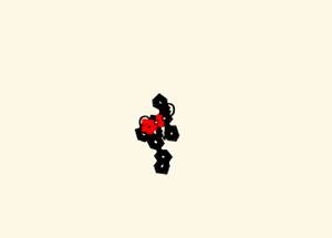 c1ccc(-c2ccc(-c3ccc4ccccc4c3)cc2N(c2ccccc2-c2ccc3c(c2)oc2ccccc23)c2cccc3oc4ccccc4c23)cc1